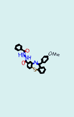 COc1ccc(C2=Nc3cc(C(=O)NNC(=O)c4ccccc4)ccc3Sc3ccccc32)cc1